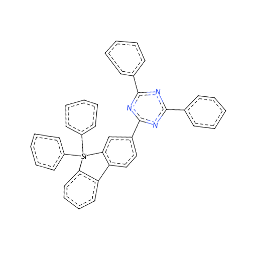 c1ccc(-c2nc(-c3ccccc3)nc(-c3ccc4c(c3)[Si](c3ccccc3)(c3ccccc3)c3ccccc3-4)n2)cc1